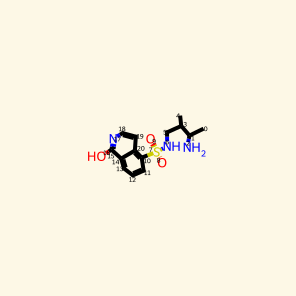 CC(N)C(C)CNS(=O)(=O)c1cccc2c(O)nccc12